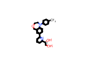 OC[C@@H](O)c1cccc(-c2ccc3c(c2)COCCN3c2ccc(C(F)(F)F)cc2)n1